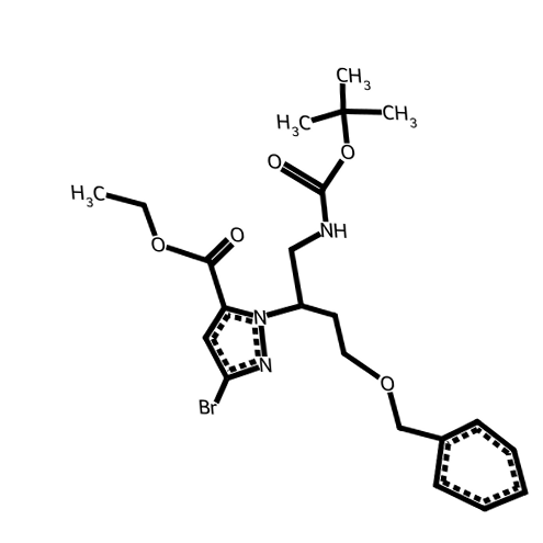 CCOC(=O)c1cc(Br)nn1C(CCOCc1ccccc1)CNC(=O)OC(C)(C)C